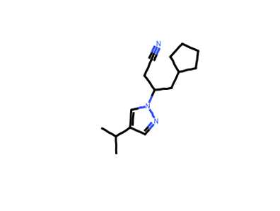 CC(C)c1cnn(C(CC#N)CC2CCCC2)c1